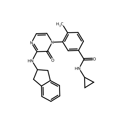 Cc1ccc(C(=O)NC2CC2)cc1-n1ccnc(NC2Cc3ccccc3C2)c1=O